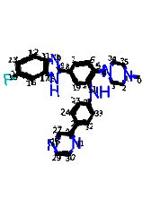 CN1CCN(c2ccc(-c3nc4ccc(F)cc4[nH]3)cc2Nc2ccc(-c3cnccn3)cc2)CC1